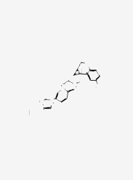 Cc1cn(C2=CN3CCN(C[C@]45C[C@H]4COc4c(Cl)cc(Cl)cc45)C=C3C=C2)cn1